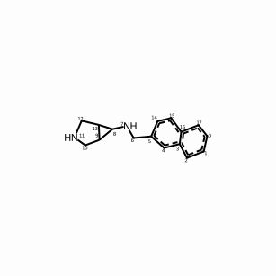 c1ccc2cc(CNC3C4CNCC43)ccc2c1